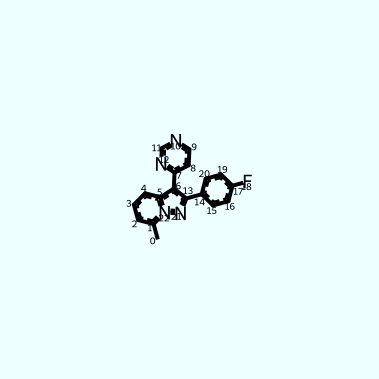 Cc1cccc2c(-c3ccncn3)c(-c3ccc(F)cc3)nn12